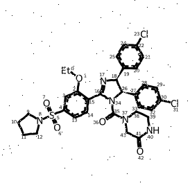 CCOc1cc(S(=O)(=O)N2CCCC2)ccc1C1=N[C@@H](c2ccc(Cl)cc2)[C@@H](c2ccc(Cl)cc2)N1C(=O)N1CCNC(=O)C1